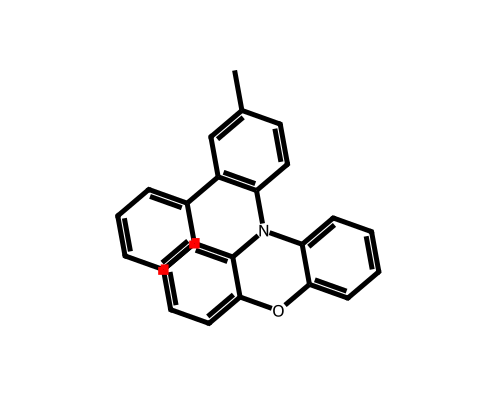 Cc1ccc(N2c3ccccc3Oc3ccccc32)c(-c2ccccc2)c1